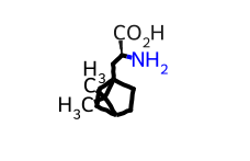 CC1(C)C2CCC1(C[C@H](N)C(=O)O)CC2